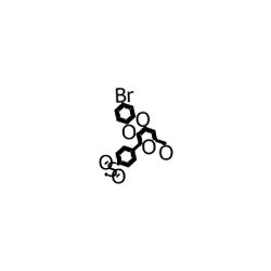 CS(=O)(=O)c1ccc(-c2oc(C=O)cc(=O)c2Oc2ccc(Br)cc2)cc1